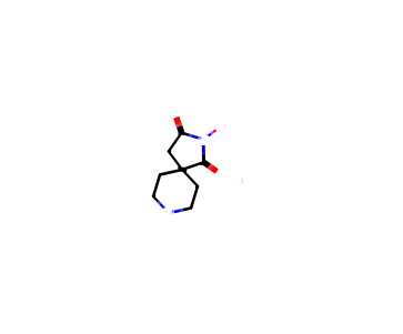 Cl.O=C1CC2(CCNCC2)C(=O)N1O